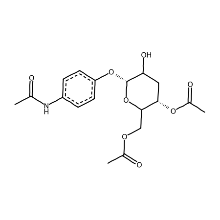 CC(=O)Nc1ccc(O[C@H]2OC(COC(C)=O)[C@@H](OC(C)=O)CC2O)cc1